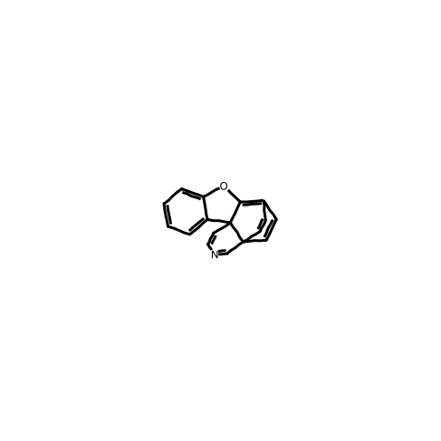 C1=CC23C(=C4C=CC2(C=C4)C=N1)Oc1ccccc13